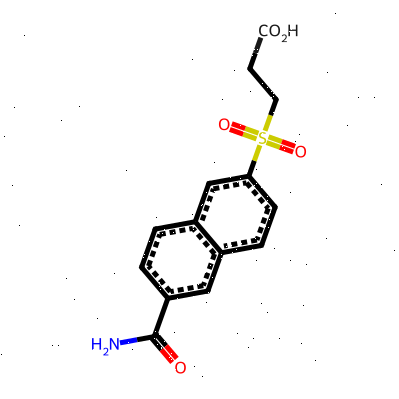 NC(=O)c1ccc2cc(S(=O)(=O)CCC(=O)O)ccc2c1